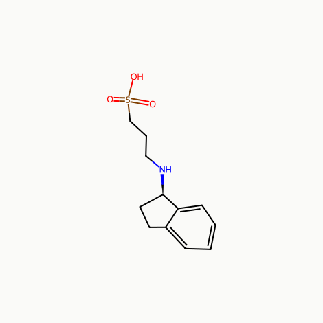 O=S(=O)(O)CCCN[C@@H]1CCc2ccccc21